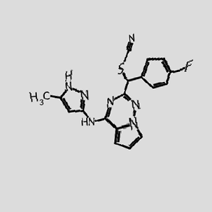 Cc1cc(Nc2nc(C(SC#N)c3ccc(F)cc3)nn3cccc23)n[nH]1